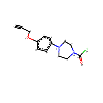 C#CCOc1ccc(N2CCN(C(=O)Cl)CC2)cc1